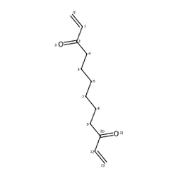 C=CC(=O)CCCCCCC(=O)C=C